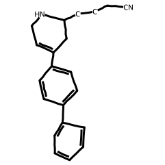 N#CCCCC1CC(c2ccc(-c3ccccc3)cc2)=CCN1